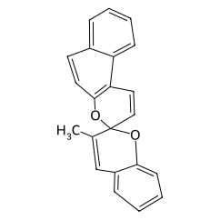 CC1=Cc2ccccc2OC12C=Cc1c(ccc3ccccc13)O2